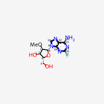 CO[C@@H]1[C@H](O)[C@@H](CO)O[C@H]1n1cnc2c(N)nc(F)nc21